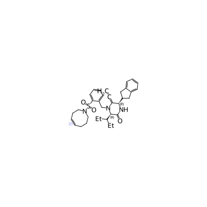 C=C=C1[C@@H](C2Cc3ccccc3C2)NC(=O)[C@@H](C(CC)CC)N1Cc1ccccc1S(=O)(=O)N1CC/C=C\CCC1